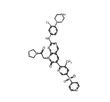 Cc1cc(S(=O)(=O)c2ccncc2)cnc1-c1cc2cnc(Nc3ccc(N4CCNCC4)c(Cl)c3)nc2n(CC(=O)N2CCCC2)c1=O